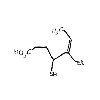 CC=C(CC)C(S)CC(=O)O